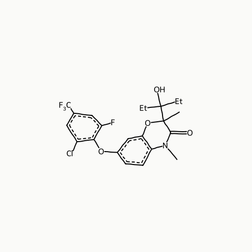 CCC(O)(CC)C1(C)Oc2cc(Oc3c(F)cc(C(F)(F)F)cc3Cl)ccc2N(C)C1=O